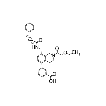 CCOCC(=O)N1CCc2c(-c3cccc(C(=O)O)c3)ccc(CNC(=O)[C@H]3C[C@@H]3c3ccccc3)c2C1